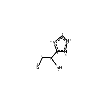 SCC(S)c1nncs1